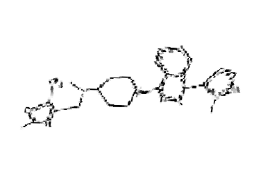 Cc1nc(CN(C)C2CCN(c3nnc(-c4ccnn4C)c4ccccc34)CC2)c(C(F)(F)F)o1